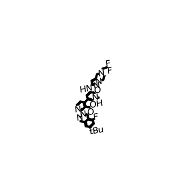 Cn1cc(-c2ccnc(-n3ncc4cc(C(C)(C)C)cc(F)c4c3=O)c2CO)cc(Nc2cc3n(n2)CCN(CC(F)F)C3)c1=O